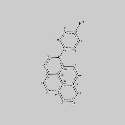 Fc1ccc(-c2ccc3ccc4cccc5ccc2c3c45)cn1